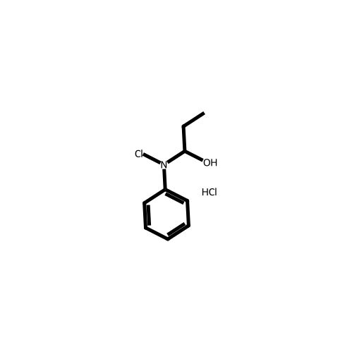 CCC(O)N(Cl)c1ccccc1.Cl